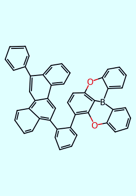 c1ccc(-c2cc3c4ccccc4c(-c4ccccc4-c4ccc5c6c4Oc4ccccc4B6c4ccccc4O5)cc3c3ccccc23)cc1